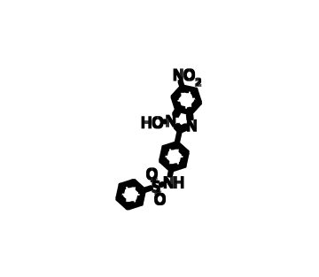 O=[N+]([O-])c1ccc2nc(-c3ccc(NS(=O)(=O)c4ccccc4)cc3)n(O)c2c1